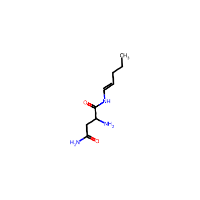 CCC/C=C/NC(=O)C(N)CC(N)=O